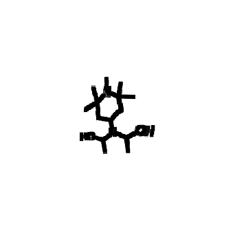 CC(O)N(C(C)O)C1CC(C)(C)N(C)C(C)(C)C1